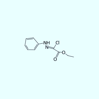 CCOC(=O)C(Cl)=NNc1ccccc1